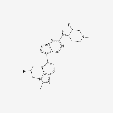 Cc1nc2ccc(-c3ccn4nc(N[C@@H]5CCN(C)C[C@H]5F)ncc34)nc2n1CC(F)F